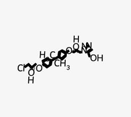 CC(C)(c1ccc(OC[C@H](O)CCl)cc1)c1ccc(OC[C@@H](O)Cn2nncc2CO)cc1